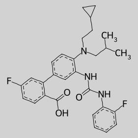 CC(C)CN(CCC1CC1)c1ccc(-c2cc(F)ccc2C(=O)O)cc1NC(=O)Nc1ccccc1F